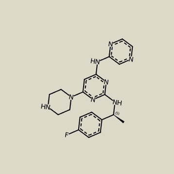 C[C@H](Nc1nc(Nc2cnccn2)cc(N2CCNCC2)n1)c1ccc(F)cc1